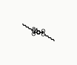 CCCCCCCCOC(=O)c1ccc(C(=O)OCCCCCCCC)c(Br)c1